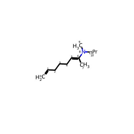 C=CCCC/C=C(\C)N(C)CCC